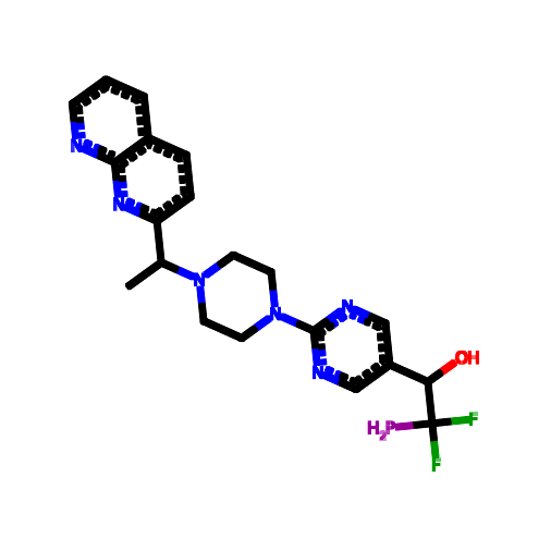 CC(c1ccc2cccnc2n1)N1CCN(c2ncc(C(O)C(F)(F)P)cn2)CC1